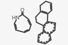 C1=CC2=C(CC1)CCc1c2ccc2ccccc12.O=C1C=CC=CC=CN1